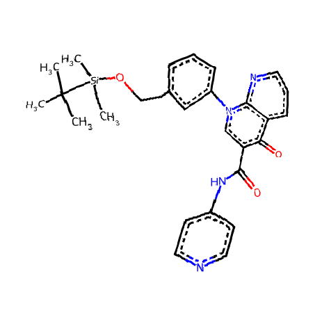 CC(C)(C)[Si](C)(C)OCc1cccc(-n2cc(C(=O)Nc3ccncc3)c(=O)c3cccnc32)c1